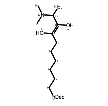 CCCCCCCCCCCCCCCCC(O)=C(O)C(CC)N(C)C